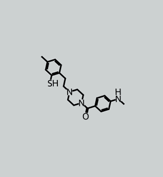 CNc1ccc(C(=O)N2CCN(CCc3ccc(C)cc3S)CC2)cc1